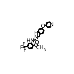 COc1ccc(C(F)(F)F)cc1NC(=O)NCc1ccc(Oc2ccncc2)cc1